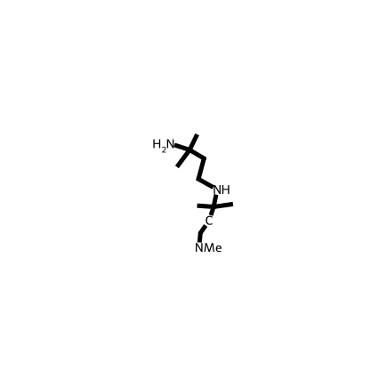 CNCCC(C)(C)NCCC(C)(C)N